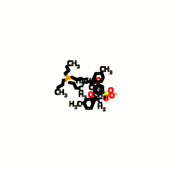 CC1CCC2C(C)(C)C2(Oc2cc(OC34CC(C)CCC3C4(C)C)cc(S(=O)(=O)[O-])c2)C1.CCCC[P+](CCCC)(CCCC)CCCC